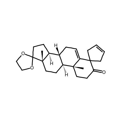 C[C@]12CCC(=O)C3(CC=CC3)C1=CC[C@@H]1[C@@H]2CC[C@@]2(C)[C@H]1CCC21OCCO1